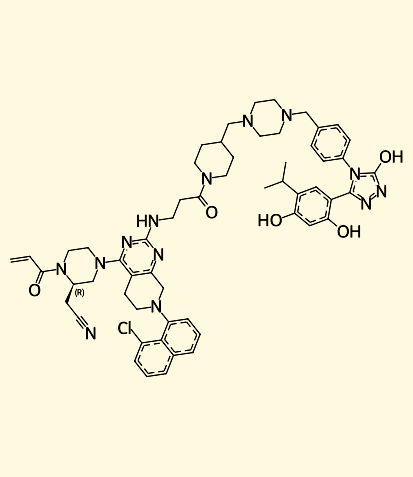 C=CC(=O)N1CCN(c2nc(NCCC(=O)N3CCC(CN4CCN(Cc5ccc(-n6c(O)nnc6-c6cc(C(C)C)c(O)cc6O)cc5)CC4)CC3)nc3c2CCN(c2cccc4cccc(Cl)c24)C3)C[C@H]1CC#N